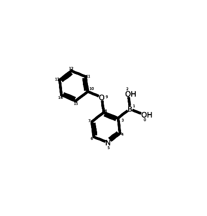 OB(O)c1cnccc1Oc1ccccc1